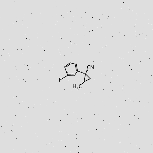 C[C@@H]1C[C@@]1(C#N)c1cccc(F)c1